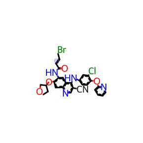 N#Cc1cnc2cc(OC3CCOC3)c(NC(=O)/C=C/CBr)cc2c1Nc1ccc(Oc2ccccn2)c(Cl)c1